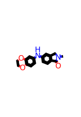 CN1Cc2cc(Nc3ccc4c(c3)OCCO4)ccc2C1=O